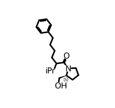 CC(C)C(CCCCc1ccccc1)C(=O)N1CCC[C@H]1CO